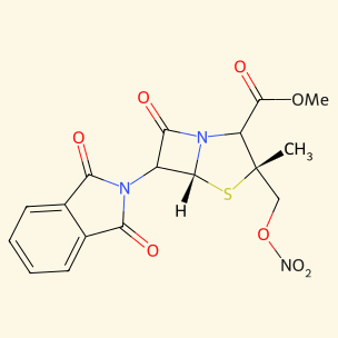 COC(=O)C1N2C(=O)C(N3C(=O)c4ccccc4C3=O)[C@H]2S[C@@]1(C)CO[N+](=O)[O-]